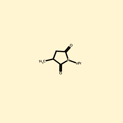 CCCN1C(=O)CC(C)C1=O